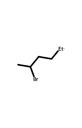 C[CH]CCC(C)Br